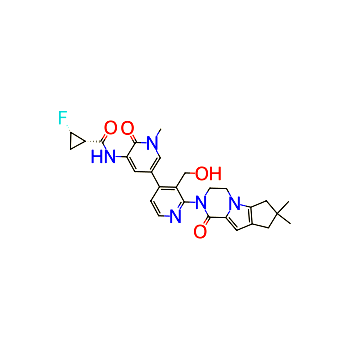 Cn1cc(-c2ccnc(N3CCn4c(cc5c4CC(C)(C)C5)C3=O)c2CO)cc(NC(=O)[C@@H]2C[C@@H]2F)c1=O